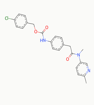 Cc1ccc(N(C)C(=O)Cc2ccc(NC(=O)OCc3ccc(Cl)cc3)cc2)cn1